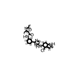 Cc1nc(C)c(C(=O)Nc2cccc(-c3nsc(Nc4ccc5[nH]ncc5c4Cl)n3)c2)o1